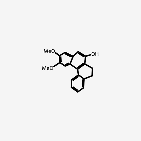 COc1cc2cc(O)c3c(c2cc1OC)-c1ccccc1CC3